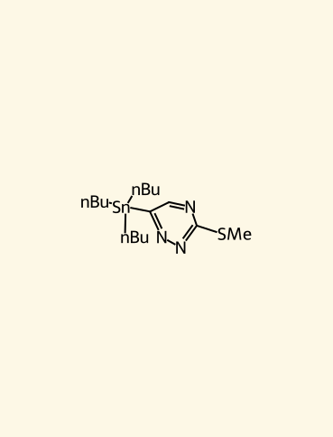 CCC[CH2][Sn]([CH2]CCC)([CH2]CCC)[c]1cnc(SC)nn1